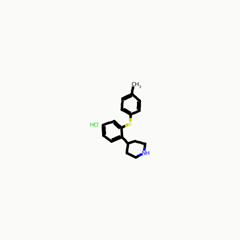 Cc1ccc(Sc2ccccc2C2CCNCC2)cc1.Cl